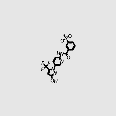 CS(=O)(=O)c1cccc(C(=O)Nc2ccc(-n3nc(O)cc3C(F)(F)F)cn2)c1